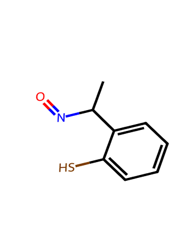 CC(N=O)c1ccccc1S